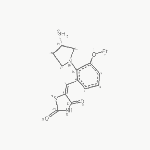 CCOc1cccc(C=C2SC(=O)NC2=O)c1N1CC[C@H](N)C1